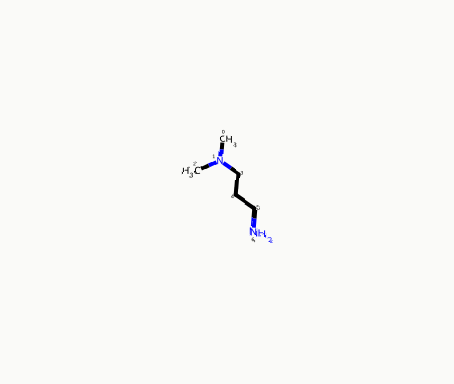 CN(C)CC[CH]N